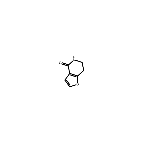 O=C1NCCc2occc21